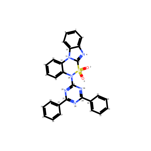 O=S1(=O)c2nc3ccccc3n2-c2ccccc2N1c1nc(-c2ccccc2)nc(-c2ccccc2)n1